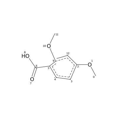 COc1c[c]c(C(=O)O)c(OC)c1